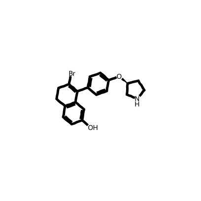 Oc1ccc2c(c1)C(c1ccc(O[C@H]3CCNC3)cc1)=C(Br)CC2